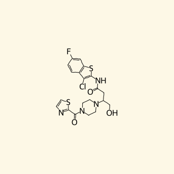 O=C(CC(CO)N1CCN(C(=O)c2nccs2)CC1)Nc1sc2cc(F)ccc2c1Cl